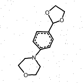 c1cc(N2CCOCC2)ccc1C1OCCO1